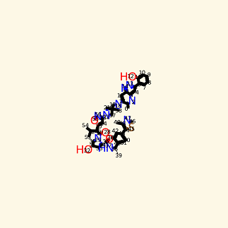 Cc1nc2cc(-c3ccccc3O)nnc2cc1N1CC2(CN(c3cc(C(C(=O)N4C[C@H](O)C[C@H]4C(=O)N[C@@H](C)c4ccc(-c5scnc5C)cc4)C(C)C)on3)C2)C1